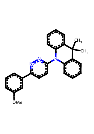 COc1cccc(-c2ccc(N3c4ccccc4C(C)(C)c4ccccc43)nn2)c1